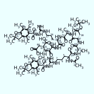 CC(=O)N[C@@H](CCCNC(=N)NS(=O)(=O)c1c(C)c(C)c2c(c1C)CC(C)(C)O2)C(=O)N[C@@H](C)C(=O)N[C@@H](CC(=O)OC(C)(C)C)C(=O)N[C@@H](C)C(=O)N[C@@H](CCCNC(=N)NS(=O)(=O)c1c(C)c(C)c2c(c1C)CC(C)(C)O2)C(=O)N[C@@H](C)C(=O)N[C@@H](CC(=O)O)C(=O)O